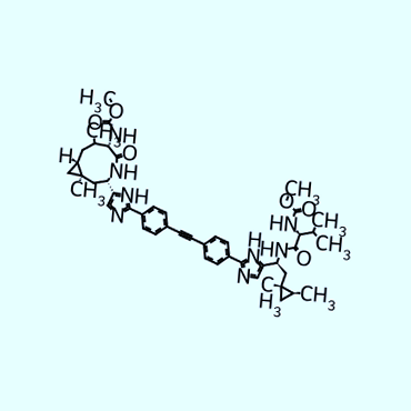 COC(=O)N[C@H](C(=O)N[C@@H](C[C@@]1(C)C[C@@H]1C)c1cnc(-c2ccc(C#Cc3ccc(-c4ncc([C@@H]5C[C@@]6(C)C[C@@H]6CC(C)[C@H](NC(=O)OC)C(=O)N5)[nH]4)cc3)cc2)[nH]1)C(C)C